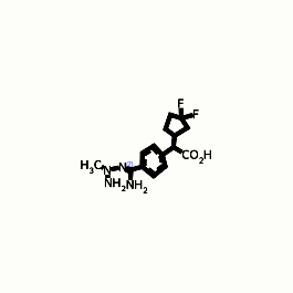 CN(N)/N=C(\N)c1ccc(C(C(=O)O)C2CCC(F)(F)C2)cc1